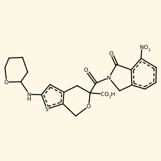 O=C1c2c(cccc2[N+](=O)[O-])CN1C(=O)C1(C(=O)O)Cc2cc(NC3CCCCO3)sc2CO1